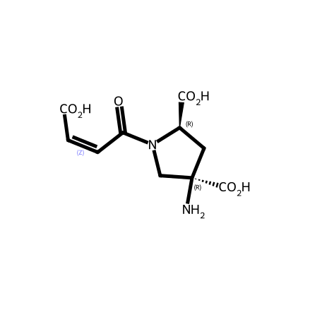 N[C@]1(C(=O)O)C[C@H](C(=O)O)N(C(=O)/C=C\C(=O)O)C1